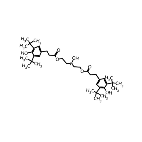 CC(C)(C)c1cc(CCC(=O)OCCN(O)CCOC(=O)CCc2cc(C(C)(C)C)c(O)c(C(C)(C)C)c2)cc(C(C)(C)C)c1O